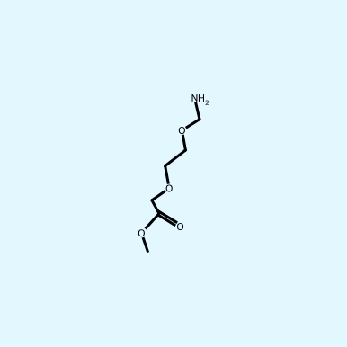 COC(=O)COCCOCN